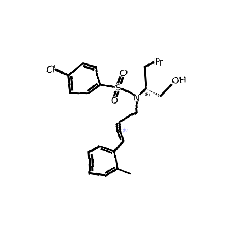 Cc1ccccc1/C=C/CN([C@@H](CO)CC(C)C)S(=O)(=O)c1ccc(Cl)cc1